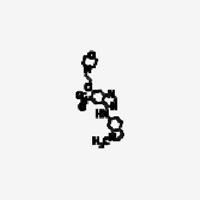 Cn1ccc2ccc(Nc3ncnc4cc(OCCN5CCOCC5)c([N+](=O)[O-])cc34)cc21